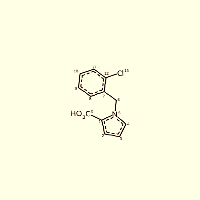 O=C(O)c1cccn1Cc1ccccc1Cl